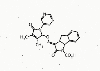 CC1=C(C)C(O/C=C2/C(=O)N(C(=O)O)C3c4ccccc4CC23)N(c2cncnc2)C1=O